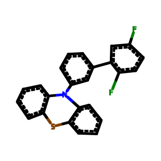 Fc1ccc(F)c(-c2cccc(N3c4ccccc4Sc4ccccc43)c2)c1